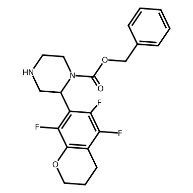 O=C(OCc1ccccc1)N1CCNCC1c1c(F)c(F)c2c(c1F)OCCC2